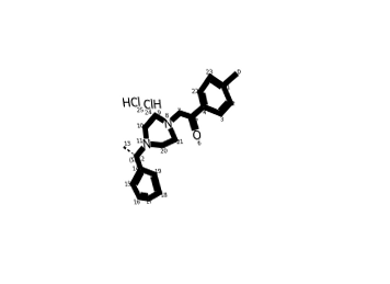 Cc1ccc(C(=O)CN2CCN([C@@H](C)c3ccccc3)CC2)cc1.Cl.Cl